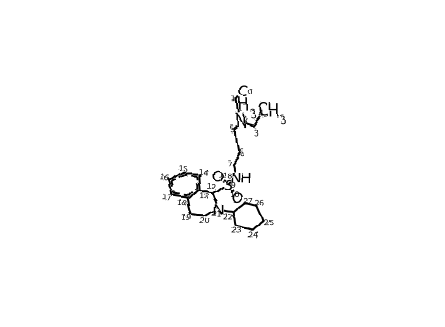 CCN(CC)CCCNS(=O)(=O)C1c2ccccc2CCN1C1CCCCC1